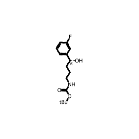 CC(C)(C)OC(=O)NCCC[C@@H](O)c1cccc(F)c1